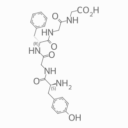 N[C@@H](Cc1ccc(O)cc1)C(=O)NCC(=O)N[C@H](Cc1ccccc1)C(=O)NCC(=O)NCC(=O)O